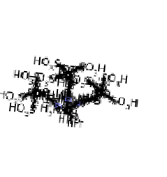 CCCNC(=O)c1cc(OC/C(N)=C/NCCCNC(=O)c2cc(OCCCS(=O)(=O)O)c(OCCCS(=O)(=O)O)c(OCCCS(=O)(=O)O)c2)c(OC/C(=C/NCCCNC(=O)c2cc(OCCCS(=O)(=O)O)c(OCCCS(=O)(=O)O)c(OCCCS(=O)(=O)O)c2)NN)c(OC/C(N)=C/N(N)CCCNC(=O)c2cc(OCCCS(=O)(=O)O)c(OCCCS(=O)(=O)O)c(OCCCS(=O)(=O)O)c2)c1